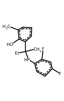 CCC(C)(Pc1ccc(F)cc1F)c1cccc(C)c1O